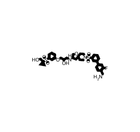 NCc1ccc(-c2cccc(S(=O)(=O)N3CCC4(CC3)C[C@H](NCC(O)COc3cccc(S(=O)(=O)C5(CO)CC5)c3)CO4)c2)cc1F